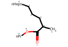 CCCCCCCCCCC(C)C(=O)OCCC